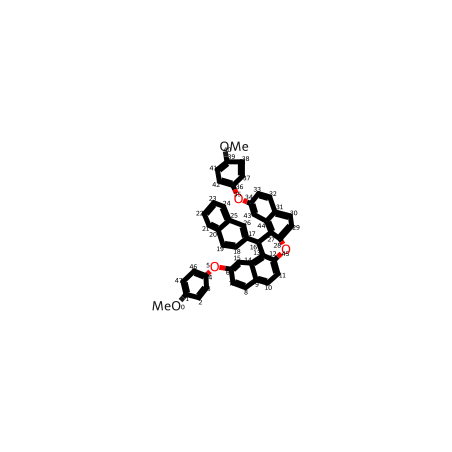 COc1ccc(Oc2ccc3ccc4c(c3c2)C(c2ccc3ccccc3c2)c2c(ccc3ccc(Oc5ccc(OC)cc5)cc23)O4)cc1